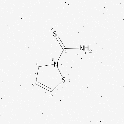 NC(=S)N1CC=CS1